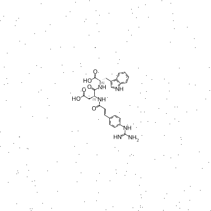 N=C(N)Nc1ccc(C=CC(=O)N[C@@H](CC(=O)O)C(=O)N[C@@H](Cc2c[nH]c3ccccc23)C(=O)O)cc1